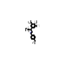 O=Cc1ccc(/C=C/C(c2cc(Cl)c(Cl)c(Cl)c2)C(F)(F)F)cc1